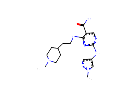 Cn1cc(Nc2ncc(C(N)=O)c(NCCC3CCN(C(=O)O)CC3)n2)cn1